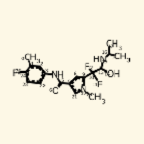 Cc1cc(NC(=O)c2cc(C(F)(F)C(O)NC(C)C)n(C)c2)ccc1F